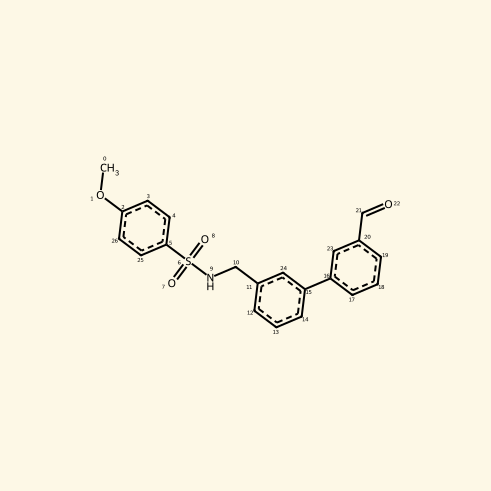 COc1ccc(S(=O)(=O)NCc2cccc(-c3cccc(C=O)c3)c2)cc1